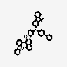 CC1(C)c2ccccc2-c2ccc(N(c3ccc(-c4ccccc4)cc3)c3ccc4oc5c(-c6cccc7c6oc6ccccc67)c6ccccc6cc5c4c3)cc21